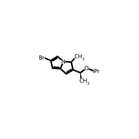 CC(C)O[C@@H](C)C1=Cc2cc(Br)cn2C1C